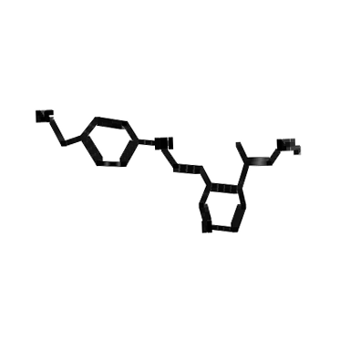 C/C(=C\N)c1ccncc1/C=C/Nc1ccc(CC#N)cc1